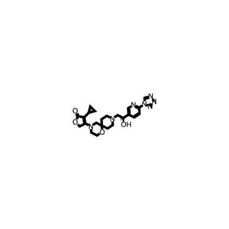 O=C1OCC(N2CCOC3(CCN(C[C@H](O)c4ccc(-n5cnnn5)nc4)CC3)C2)=C1C1CC1